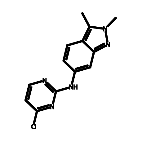 Cc1c2ccc(Nc3nccc(Cl)n3)cc2nn1C